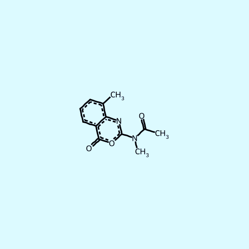 CC(=O)N(C)c1nc2c(C)cccc2c(=O)o1